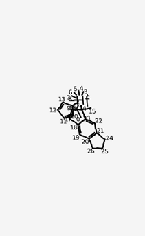 C[CH2][Hf]([CH3])([CH3])([CH3])([CH3])([CH3])([CH3])([CH]1C=CC=C1)[C]1(C)C=Cc2cc3c(cc21)CCC3